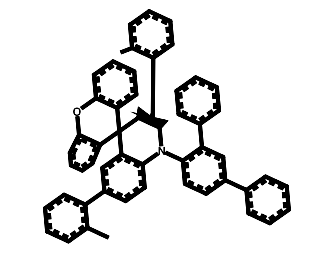 Cc1ccccc1-c1ccc2c(c1)C1(c3ccccc3Oc3ccccc31)c1cc(-c3ccccc3C)ccc1N2c1ccc(-c2ccccc2)cc1-c1ccccc1